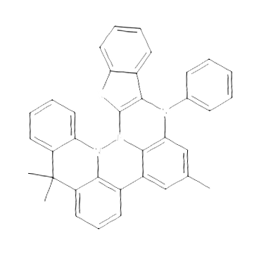 Cc1cc2c3c(c1)N(c1ccccc1)c1c(sc4ccccc14)B3N1c3ccccc3C(C)(C)c3cccc-2c31